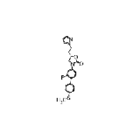 CSc1ccc(-c2ccc(N3C[C@H](CCn4cccn4)OC3=O)cc2F)cc1